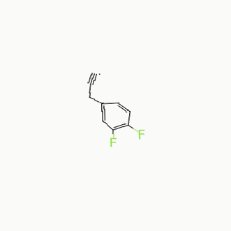 [C]#CCc1ccc(F)c(F)c1